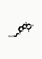 COCCOc1ccc2c(n1)N1[C@@H](CNC[C@H]1C)C2